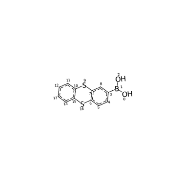 OB(O)c1ccc2c(c1)Sc1ccccc1S2